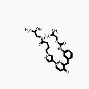 CC(C)COC(=O)Nc1cccc(Cc2nn(-c3cnn(CCCC(=O)NCC(C)O)c3)ccc2=O)c1